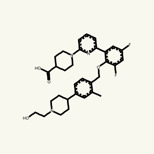 Cc1cc(C2CCN(CCO)CC2)ccc1COc1c(F)cc(F)cc1-c1cccc(N2CCC(C(=O)O)CC2)n1